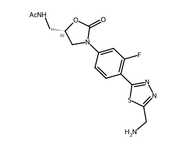 CC(=O)NC[C@H]1CN(c2ccc(-c3nnc(CN)s3)c(F)c2)C(=O)O1